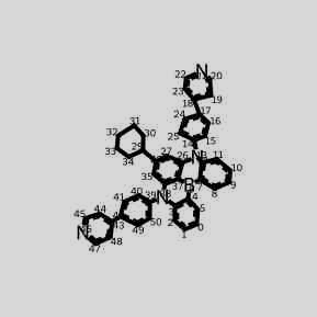 c1ccc2c(c1)B1c3ccccc3N(c3ccc(-c4ccncc4)cc3)c3cc(C4CCCCC4)cc(c31)N2c1ccc(-c2ccncc2)cc1